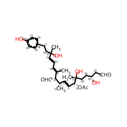 CC(=O)O[C@H](/C=C/[C@H](C)[C@H](C=O)/C(C)=C/C=C/C(C)(O)CCc1ccc(O)cc1)[C@](C)(O)CC[C@@H](O)CC=O